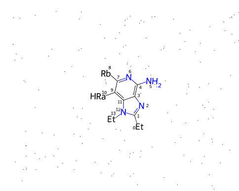 CCc1nc2c(N)n[c]([Rb])[c]([RaH])c2n1CC